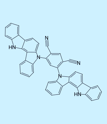 N#Cc1cc(C#N)c(-n2c3ccccc3c3c4[nH]c5ccccc5c4ccc32)cc1-n1c2ccccc2c2c3[nH]c4ccccc4c3ccc21